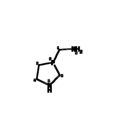 NCP1CCNC1